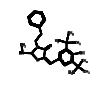 CNC1SC(=Cc2cc(C(C)(C)C)c(O)c(C(C)(C)C)c2)C(=O)N1CCc1ccccc1